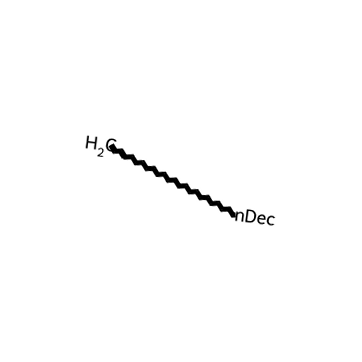 C=C/C=C/CCCCCCCCCCCCCCCCCCCCCCCCCCCCCC